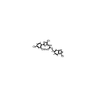 CCc1nc(-c2ccc(Cl)cc2OC)sc1NC(=O)OCc1ccc2c(c1)nnn2CC